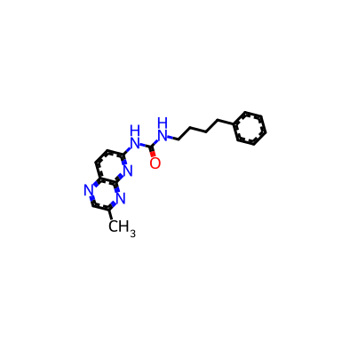 Cc1cnc2ccc(NC(=O)NCCCCc3ccccc3)nc2n1